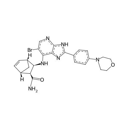 NC(=O)[C@@H]1[C@H](Nc2c(Br)cnc3[nH]c(-c4ccc(N5CCOCC5)cc4)nc23)[C@H]2C=C[C@@H]1C2